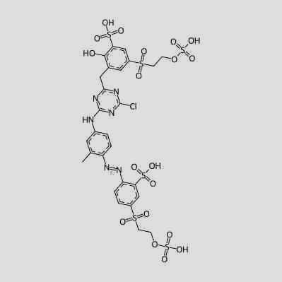 Cc1cc(Nc2nc(Cl)nc(Cc3cc(S(=O)(=O)CCOS(=O)(=O)O)cc(S(=O)(=O)O)c3O)n2)ccc1/N=N/c1ccc(S(=O)(=O)CCOS(=O)(=O)O)cc1S(=O)(=O)O